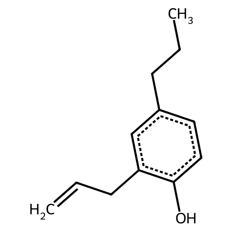 C=CCc1cc(CCC)ccc1O